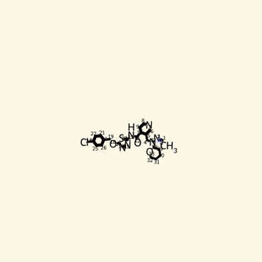 C/C=N\N(Cc1cnccc1C(=O)Nc1nnc(OCc2ccc(Cl)cc2)s1)C1CCCCO1